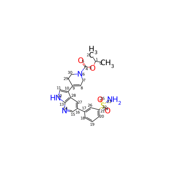 CC(C)OC(=O)N1CC=C(c2c[nH]c3ncc(-c4cccc(S(N)(=O)=O)c4)cc23)CC1